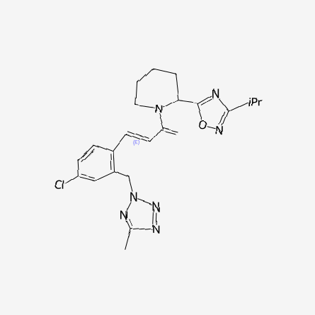 C=C(/C=C/c1ccc(Cl)cc1Cn1nnc(C)n1)N1CCCCC1c1nc(C(C)C)no1